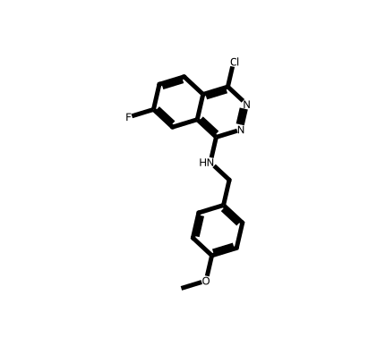 COc1ccc(CNc2nnc(Cl)c3ccc(F)cc23)cc1